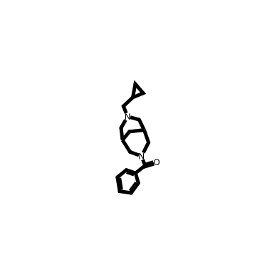 O=C(c1ccccc1)N1CC2CC(CN(CC3CC3)C2)C1